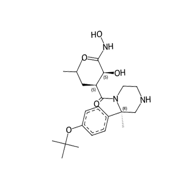 CC(C)C[C@H](C(=O)N1CCNC[C@@]1(C)c1ccc(OC(C)(C)C)cc1)[C@H](O)C(=O)NO